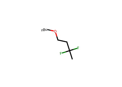 CCCCOCCC(C)(F)F